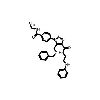 O=C(NCC(F)(F)F)c1ccc(-n2nnc(C(=O)NCCNc3ccccc3)c2COCc2ccccc2)cc1